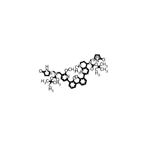 COc1nc(-c2cccc(-c3cccc(-c4ccc5c(n4)N(C)CCC5N(C[C@@H]4CCC(=O)N4)C(=O)OC(C)(C)C)c3Cl)c2Cl)ccc1CN(C[C@@H]1CCC(=O)N1)C(=O)OC(C)(C)C